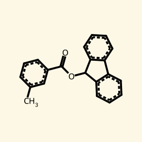 Cc1cccc(C(=O)OC2c3ccccc3-c3ccccc32)c1